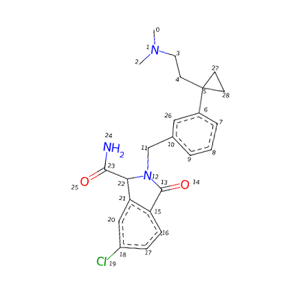 CN(C)CCC1(c2cccc(CN3C(=O)c4[c]cc(Cl)cc4C3C(N)=O)c2)CC1